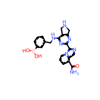 NC(=O)c1cccn2c(-c3nc4c(c(NCc5cccc(B(O)O)c5)n3)CNC4)ncc12